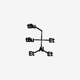 C[CH2][Al]([CH2]C)[C](CC)(CC(C)(C)C)C(C)(C)C